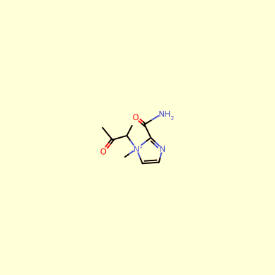 CC(=O)C(C)[N+]1(C)C=CN=C1C(N)=O